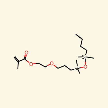 C=C(C)C(=O)OCCOCCC[Si](C)(C)O[Si](C)(C)CCCC